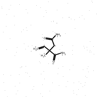 C=CC(C)(CC(N)=O)C(N)=O